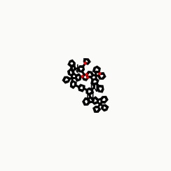 c1ccc(-c2cc(-c3ccccc3)cc(-n3c4ccccc4c4ccc5c(c43)-c3ccccc3C5(c3ccccc3)c3cccc(-c4ccc(-c5cc(-n6c7ccccc7c7cc8c(cc76)-c6ccccc6C8(c6ccccc6)c6ccccc6)cc(-n6c7ccccc7c7cc8c(cc76)-c6ccccc6C8(c6ccccc6)c6ccccc6)c5)cc4)c3)c2)cc1